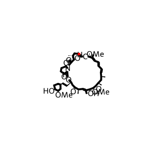 CO[C@H]1C[C@@H]2CC[C@@H](C)[C@@](C)(O2)C(=O)C(=O)N2CCCC[C@H]2C(=O)O[C@H](CC[C@@H]2CC[C@@H](O)[C@H](OC)C2)CC(=O)[C@H](C)/C=C(\C)[C@@H](O)[C@@H](OC)C(=O)[C@H](C)C[C@H](C)/C=C/C=C/C=C/1C